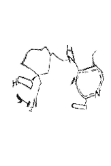 Cc1cnc(Cl)nc1NC1CCC[C@@](O)(CN)C1